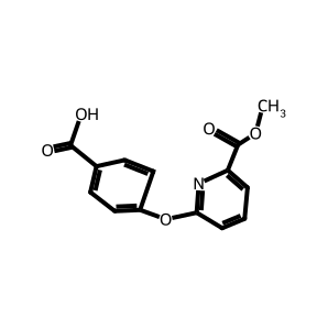 COC(=O)c1cccc(Oc2ccc(C(=O)O)cc2)n1